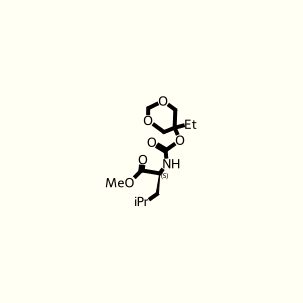 CCC1(OC(=O)N[C@@H](CC(C)C)C(=O)OC)COCOC1